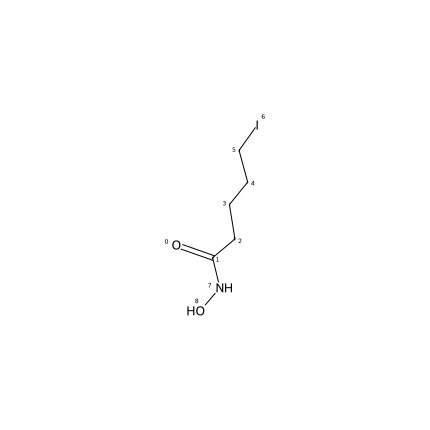 O=C(CCCCI)NO